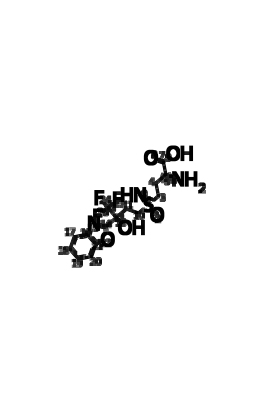 N=S(=O)(CC[C@H](N)C(=O)O)CCC(O)(c1nc2ccccc2o1)C(F)(F)F